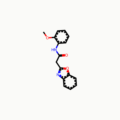 COc1ccccc1NC(=O)Cc1nc2ccccc2o1